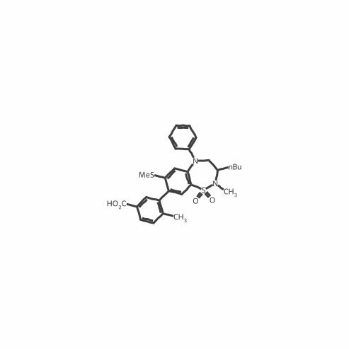 CCCCC1CN(c2ccccc2)c2cc(SC)c(-c3cc(C(=O)O)ccc3C)cc2S(=O)(=O)N1C